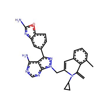 C=C1c2c(C)cccc2C=C(Cn2nc(-c3ccc4oc(N)nc4c3)c3c(N)ncnc32)N1C1CC1